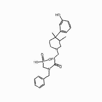 CC1CN(CCC(=O)N(Cc2ccccc2)CP(=O)(O)O)CCC1(C)c1cccc(O)c1